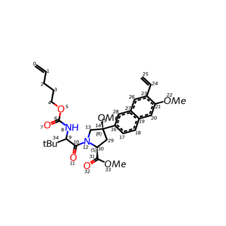 C=CCCCOC(=O)NC(C(=O)N1C[C@](OC)(c2ccc3cc(OC)c(C=C)cc3c2)C[C@H]1C(=O)OC)C(C)(C)C